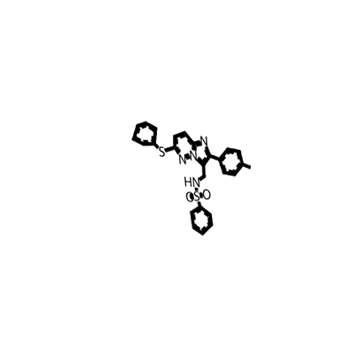 Cc1ccc(-c2nc3ccc(Sc4ccccc4)nn3c2CNS(=O)(=O)c2ccccc2)cc1